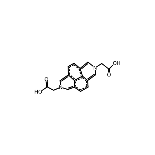 O=C(O)CN1C=c2ccc3c4c(ccc(c24)=C1)=CN(CC(=O)O)C=3